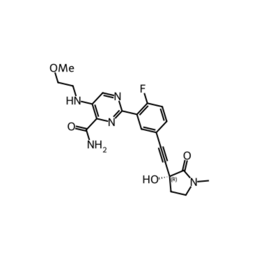 COCCNc1cnc(-c2cc(C#C[C@]3(O)CCN(C)C3=O)ccc2F)nc1C(N)=O